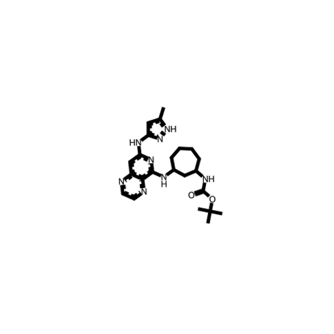 Cc1cc(Nc2cc3nccnc3c(NC3CCCCC(NC(=O)OC(C)(C)C)C3)n2)n[nH]1